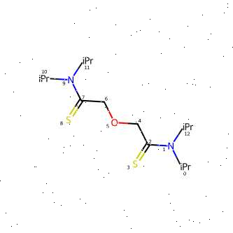 CC(C)N(C(=S)COCC(=S)N(C(C)C)C(C)C)C(C)C